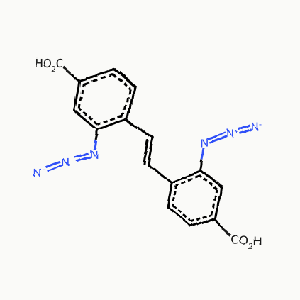 [N-]=[N+]=Nc1cc(C(=O)O)ccc1/C=C/c1ccc(C(=O)O)cc1N=[N+]=[N-]